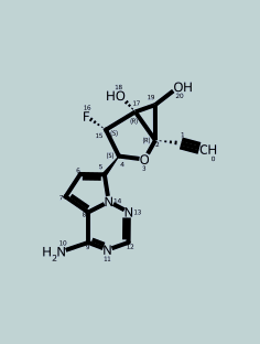 C#C[C@]12O[C@@H](c3ccc4c(N)ncnn34)[C@H](F)[C@@]1(O)C2O